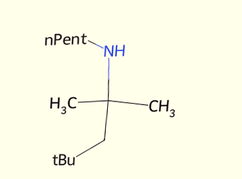 CCCCCNC(C)(C)CC(C)(C)C